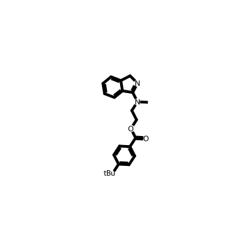 CN(CCOC(=O)c1ccc(C(C)(C)C)cc1)C1=NCc2ccccc21